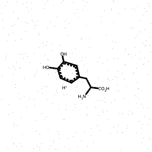 NC(Cc1ccc(O)c(O)c1)C(=O)O.[H+]